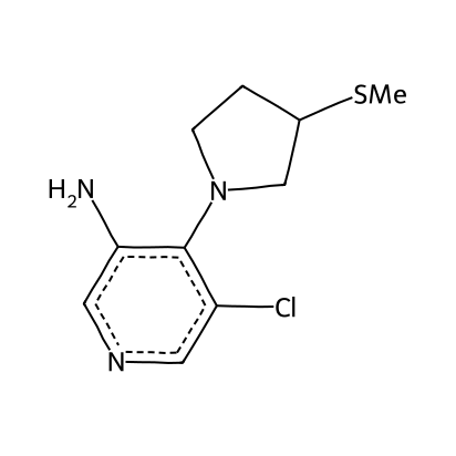 CSC1CCN(c2c(N)cncc2Cl)C1